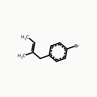 CC=C(C)Cc1ccc(Br)cc1